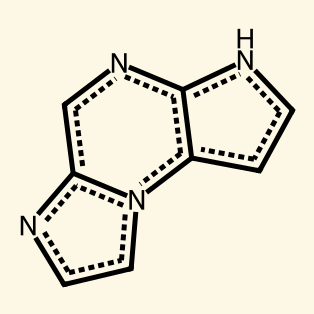 c1cn2c(cnc3[nH]ccc32)n1